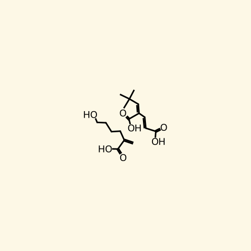 C=C(CCCCO)C(=O)O.CC(C)(C)C=C(C=CC(=O)O)C(=O)O